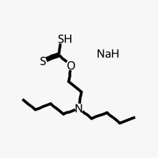 CCCCN(CCCC)CCOC(=S)S.[NaH]